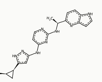 C[C@H](Nc1nccc(Nc2cc([C@H]3C[C@H]3F)[nH]n2)n1)c1ccc2[nH]ccc2n1